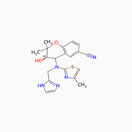 Cc1csc(N(Cc2ncc[nH]2)C2c3cc(C#N)ccc3OC(C)(C)[C@@H]2O)n1